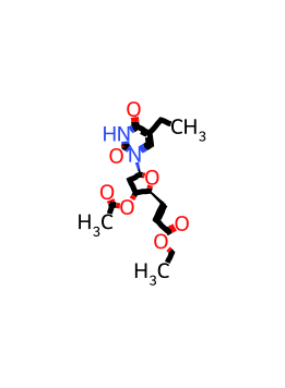 CCOC(=O)/C=C/[C@@H]1O[C@H](n2cc(CC)c(=O)[nH]c2=O)CC1OC(C)=O